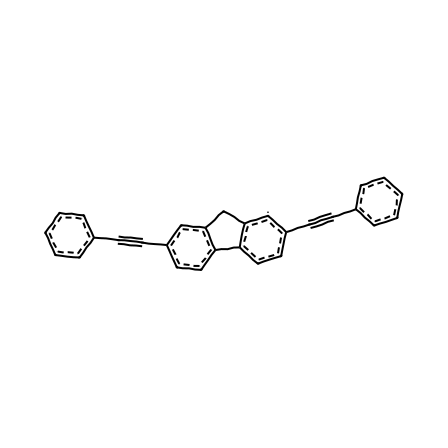 C(#Cc1ccccc1)c1[c]c2c(cc1)-c1ccc(C#Cc3ccccc3)cc1C2